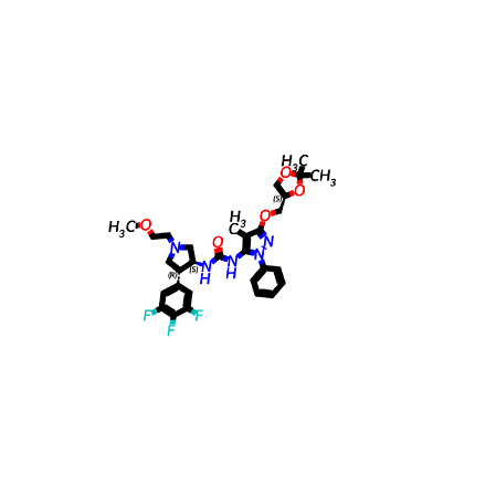 COCCN1C[C@@H](NC(=O)Nc2c(C)c(OC[C@H]3COC(C)(C)O3)nn2-c2ccccc2)[C@H](c2cc(F)c(F)c(F)c2)C1